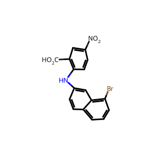 O=C(O)c1cc([N+](=O)[O-])ccc1Nc1ccc2cccc(Br)c2c1